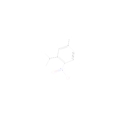 C[C](C)c1cc(C)ccc1[N+](=O)[O-]